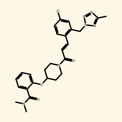 Cc1nnn(Cc2cc(Cl)ccc2/C=C/C(=O)N2CCC(Oc3ccccc3C(=O)N(C)C)CC2)n1